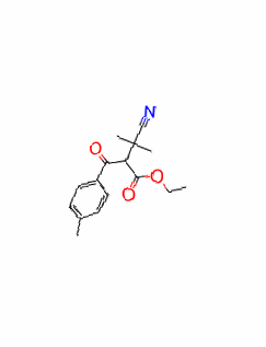 CCOC(=O)C(C(=O)c1ccc(C)cc1)C(C)(C)C#N